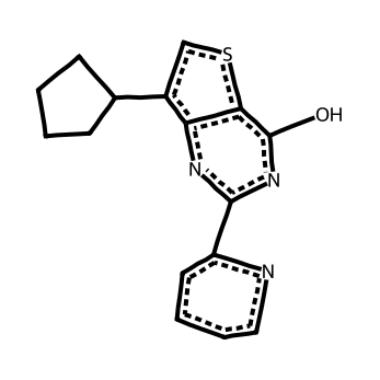 Oc1nc(-c2ccccn2)nc2c(C3CCCC3)csc12